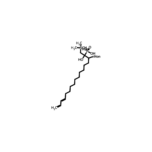 C=C/C=C/CCCCCCCCCCC(CCCCCCCCC)C(O)(C[N+](C)(C)C)P(=O)(O)O